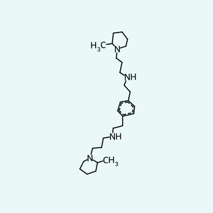 CC1CCCCN1CCCNCCc1ccc(CCNCCCN2CCCCC2C)cc1